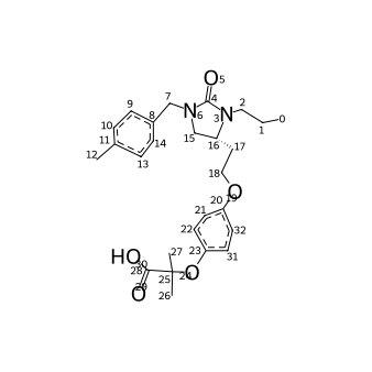 CCCN1C(=O)N(Cc2ccc(C)cc2)C[C@H]1CCOc1ccc(OC(C)(C)C(=O)O)cc1